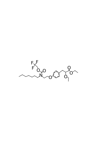 CCCCCCCN(CCOc1ccc(CC(OCC)C(=O)OCC)cc1)C(=O)OCC(F)(F)F